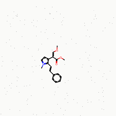 CO/C=C(\C(=O)OC)c1ccn(C)c1C=Cc1ccccc1